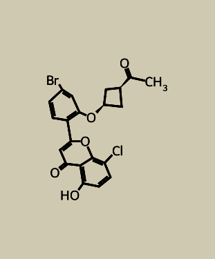 CC(=O)[C@H]1C[C@@H](Oc2cc(Br)ccc2-c2cc(=O)c3c(O)ccc(Cl)c3o2)C1